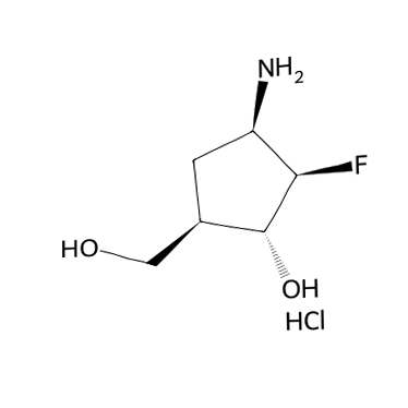 Cl.N[C@@H]1C[C@H](CO)[C@@H](O)[C@@H]1F